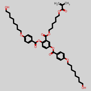 C=C(C)C(=O)OCCCCCCOC(=O)c1cc(OC(=O)c2ccc(OCCCCCCCCO)cc2)ccc1OC(=O)c1ccc(OCCCCCCCCO)cc1